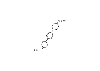 CCCCCC1CCC(c2ccc(C3=CCC(CC(C)CC)CC3)cc2)CC1